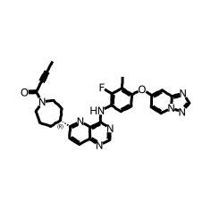 CC#CC(=O)N1CCC[C@@H](c2ccc3ncnc(Nc4ccc(Oc5ccn6ncnc6c5)c(C)c4F)c3n2)CC1